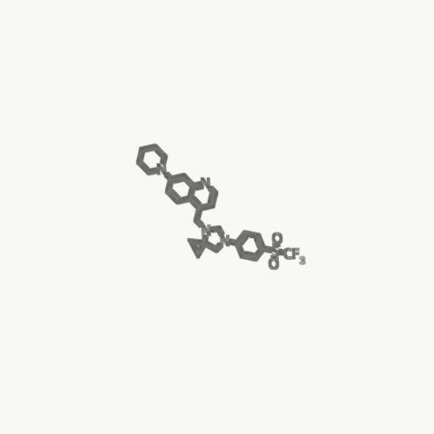 O=S(=O)(c1ccc(N2CN(Cc3ccnc4cc(N5CCCCC5)ccc34)C3(CC3)C2)cc1)C(F)(F)F